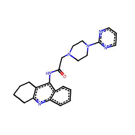 O=C(CN1CCN(c2ncccn2)CC1)Nc1c2c(nc3ccccc13)CCCC2